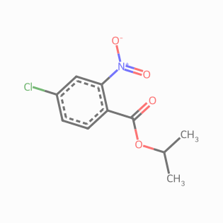 CC(C)OC(=O)c1ccc(Cl)cc1[N+](=O)[O-]